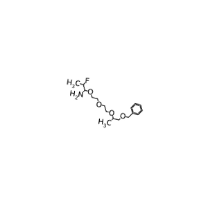 CC(COCc1ccccc1)OCCOCCOC(N)C(C)F